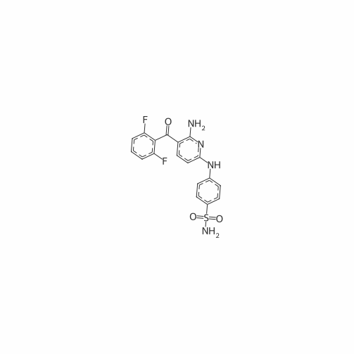 Nc1nc(Nc2ccc(S(N)(=O)=O)cc2)ccc1C(=O)c1c(F)cccc1F